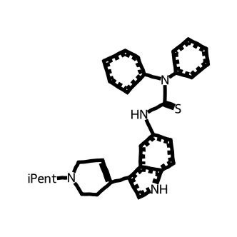 CCCC(C)N1CC=C(c2c[nH]c3ccc(NC(=S)N(c4ccccc4)c4ccccc4)cc23)CC1